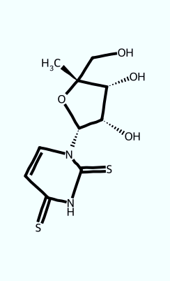 C[C@]1(CO)O[C@@H](n2ccc(=S)[nH]c2=S)[C@@H](O)[C@H]1O